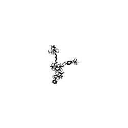 CC(=O)OC1[C@H](OCCCCCNC(=O)OC(C)(C)C)OC(COc2ccc([N+](=O)[O-])cc2)[C@@H](O[C@@H]2OC3COC(c4ccccc4)O[C@@H]3[C@H](C)C2C)[C@@H]1C